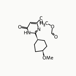 COC=O.CO[C@H]1CC[C@@H](c2nc(C)cc(=O)[nH]2)CC1